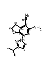 CC(C)c1ccn(-c2cc(N)c(C#N)c3c2OCC3)n1